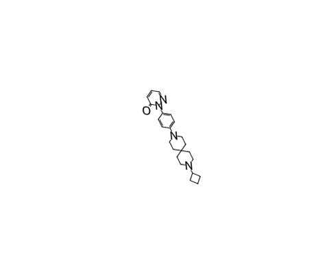 O=c1cccnn1-c1ccc(N2CCC3(CC2)CCN(C2CCC2)CC3)cc1